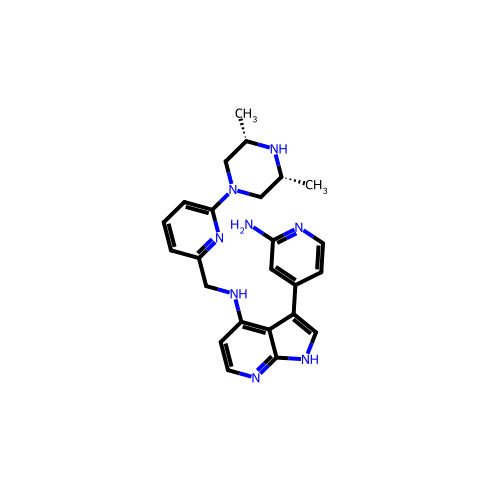 C[C@@H]1CN(c2cccc(CNc3ccnc4[nH]cc(-c5ccnc(N)c5)c34)n2)C[C@H](C)N1